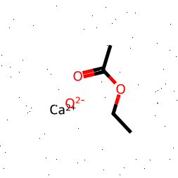 CCOC(C)=O.[Ca+2].[O-2]